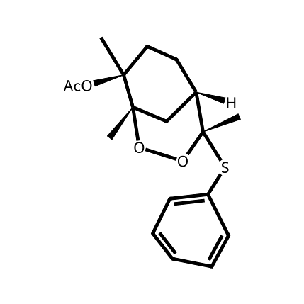 CC(=O)O[C@@]1(C)CC[C@H]2C[C@]1(C)OO[C@@]2(C)Sc1ccccc1